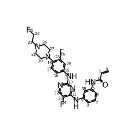 C=CC(=O)Nc1cccc(Nc2nc(Nc3ccc(N4CCN(CCF)CC4)c(F)c3)ncc2F)c1